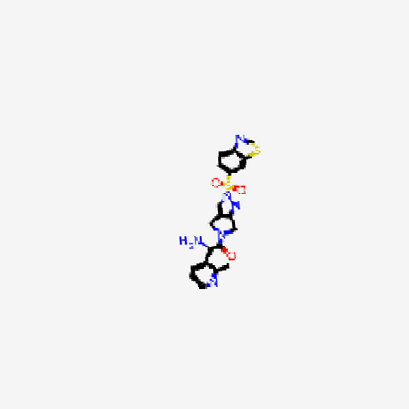 Cc1ncccc1[C@@H](N)C(=O)N1Cc2cn(S(=O)(=O)c3ccc4ncsc4c3)nc2C1